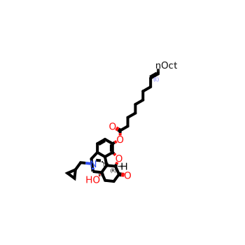 CCCCCCCC/C=C/CCCCCCCC(=O)OC1=C2O[C@H]3C(=O)CC[C@@]4(O)C5CC(C=C1)C2[C@@]34CCN5CC1CC1